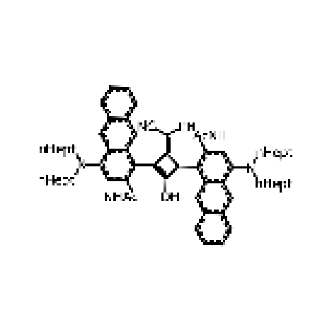 CCCCCCCN(CCCCCCC)c1cc(NC(C)=O)c(C2=C(O)C(c3c(NC(C)=O)cc(N(CCCCCCC)CCCCCCC)c4cc5ccccc5cc34)C2=C(C#N)C#N)c2cc3ccccc3cc12